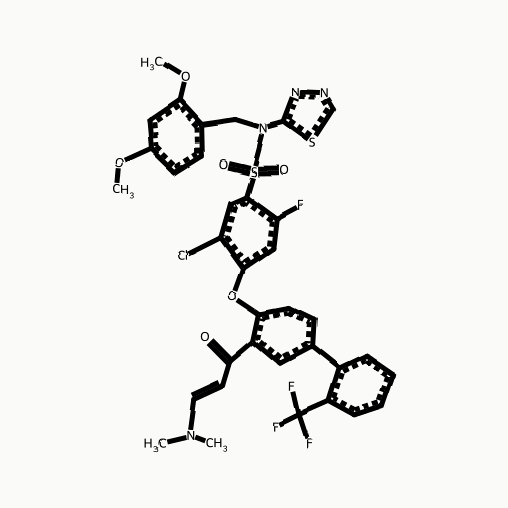 COc1ccc(CN(c2nncs2)S(=O)(=O)c2cc(Cl)c(Oc3ccc(-c4ccccc4C(F)(F)F)cc3C(=O)C=CN(C)C)cc2F)c(OC)c1